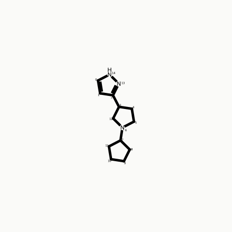 c1cc(C2CCN(C3CCCC3)C2)n[nH]1